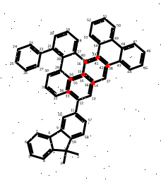 CC1(C)c2ccccc2-c2cc(-c3ccc(N(c4cccc(-c5ccccc5)c4-c4ccccc4-c4ccccc4)c4cc5ccccc5c5ccccc45)cc3)ccc21